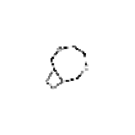 C1COCC2CCC2CO1